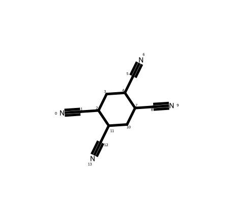 N#CC1CC(C#N)C(C#N)CC1C#N